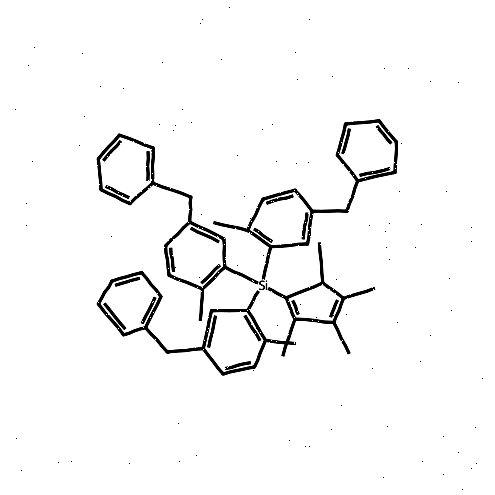 CC1=C(C)C(C)C([Si](c2cc(Cc3ccccc3)ccc2C)(c2cc(Cc3ccccc3)ccc2C)c2cc(Cc3ccccc3)ccc2C)=C1C